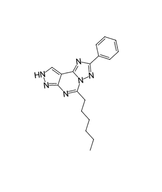 CCCCCCc1nc2n[nH]cc2c2nc(-c3ccccc3)nn12